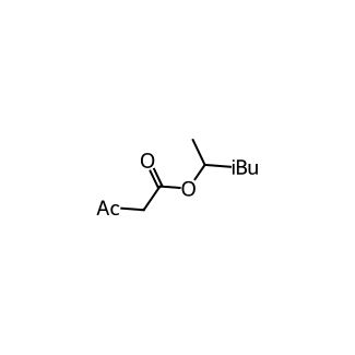 CCC(C)C(C)OC(=O)CC(C)=O